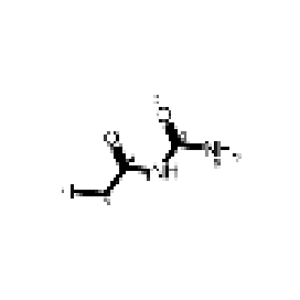 NC(=O)NC(=O)CI